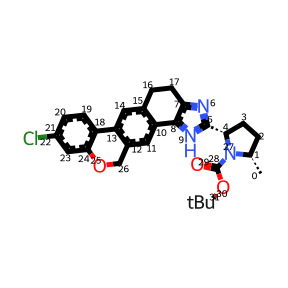 C[C@H]1CC[C@@H](c2nc3c([nH]2)-c2cc4c(cc2CC3)-c2ccc(Cl)cc2OC4)N1C(=O)OC(C)(C)C